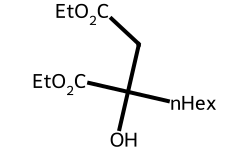 CCCCCCC(O)(CC(=O)OCC)C(=O)OCC